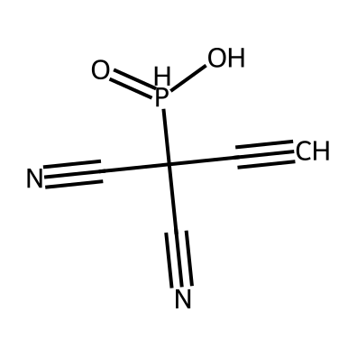 C#CC(C#N)(C#N)[PH](=O)O